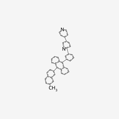 Cc1ccc2ccc(-c3c4ccccc4c(-c4cccc(-c5ccc(-c6ccncc6)cn5)c4)c4ccccc34)cc2c1